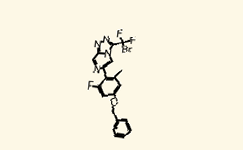 Cc1cc(OCc2ccccc2)cc(F)c1-c1cn2c(C(F)(F)Br)nnc2cn1